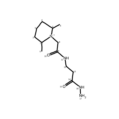 CC1CCCC(C)N1CC(=O)NCCC(=O)NN